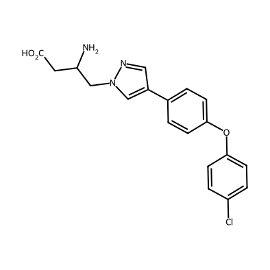 NC(CC(=O)O)Cn1cc(-c2ccc(Oc3ccc(Cl)cc3)cc2)cn1